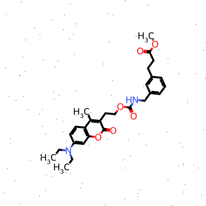 CCN(CC)c1ccc2c(C)c(CCOC(=O)NCc3cccc(CCC(=O)OC)c3)c(=O)oc2c1